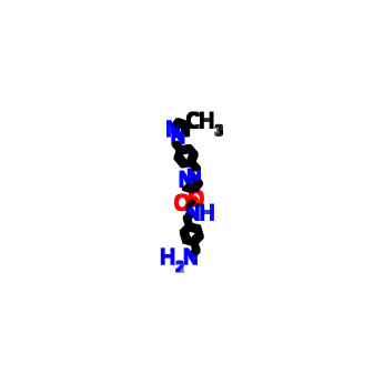 Cc1cnn(Cc2ccc(Cn3cc(OC(=O)NCc4ccc(CN)cc4)cn3)cc2)c1